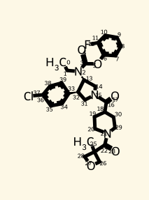 CCN(C(=O)Oc1ccccc1F)[C@@H]1CN(C(=O)C2CCN(C(=O)C3(C)COC3)CC2)C[C@H]1c1ccc(Cl)cc1